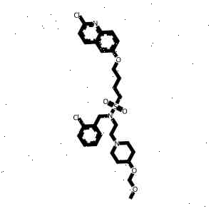 COCOC1CCN(CCN(Cc2ccccc2Cl)S(=O)(=O)CCCCOc2ccc3nc(Cl)ccc3c2)CC1